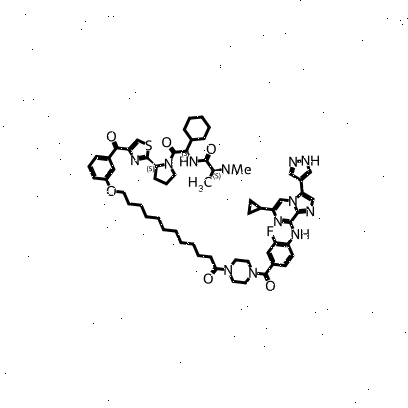 CN[C@@H](C)C(=O)N[C@H](C(=O)N1CCC[C@H]1c1nc(C(=O)c2cccc(OCCCCCCCCCCCC(=O)N3CCN(C(=O)c4ccc(Nc5nc(C6CC6)cn6c(-c7cn[nH]c7)cnc56)c(F)c4)CC3)c2)cs1)C1CCCCC1